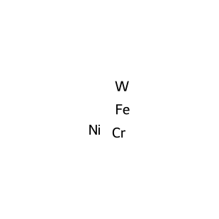 [Cr].[Fe].[Ni].[W]